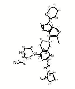 Cc1ccc2c(cnn2C2CCCCO2)c1N1CCc2c(nc(OC[C@@H]3CCCN3C)nc2N2CCN[C@@H](CC#N)C2)C1